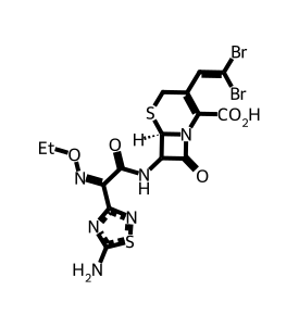 CCO/N=C(\C(=O)NC1C(=O)N2C(C(=O)O)=C(C=C(Br)Br)CS[C@H]12)c1nsc(N)n1